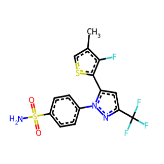 Cc1csc(-c2cc(C(F)(F)F)nn2-c2ccc(S(N)(=O)=O)cc2)c1F